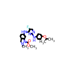 COC(=O)N1c2cc(Nc3nc(Nc4ccc(OC(C)C)cc4)ncc3F)ccc2CN1C